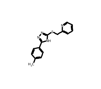 Cc1ccc(-c2nnc(SCc3ccccn3)[nH]2)cc1